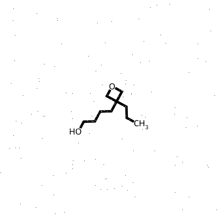 CCCC1(CCCCO)COC1